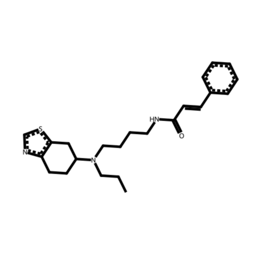 CCCN(CCCCNC(=O)C=Cc1ccccc1)C1CCc2ncsc2C1